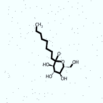 CCCCCCCCC1([O])O[C@H](CO)[C@@H](O)[C@H](O)[C@H]1O